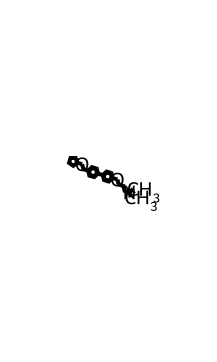 CN(C)CCCOc1ccc(-c2ccc(COC3CCCC3)cc2)cc1